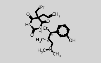 C=CCC1(CC(C)C)C(=O)NC(=O)NC1=O.CC[C@@H](c1cccc(O)c1)[C@@H](C)CN(C)C